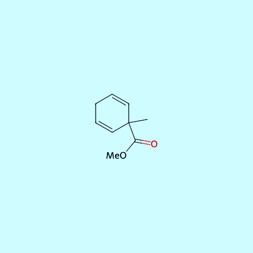 COC(=O)C1(C)C=CCC=C1